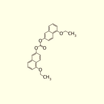 CCOc1cccc2cc(OC(=O)Oc3ccc4c(OCC)cccc4c3)ccc12